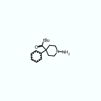 CC(C)(C)C(=O)C1(c2ccccc2)CCN(N)CC1